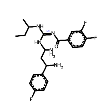 CCC(C)N/C(=N/C(=O)c1ccc(F)c(F)c1)NC(N)CC(N)c1ccc(F)cc1